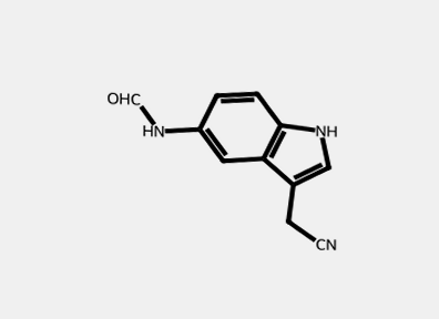 N#CCc1c[nH]c2ccc(NC=O)cc12